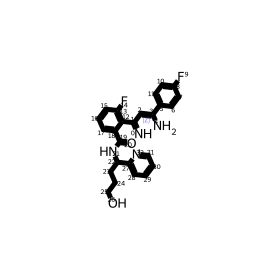 N=C(/C=C(\N)c1ccc(F)cc1)c1c(F)cccc1C(=O)NC(CCCO)c1ccccn1